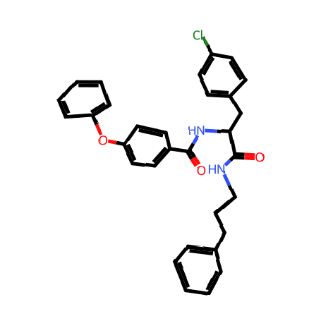 O=C(NC(Cc1ccc(Cl)cc1)C(=O)NCCCc1ccccc1)c1ccc(Oc2ccccc2)cc1